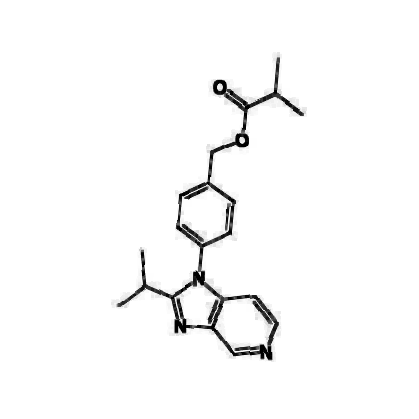 CC(C)C(=O)OCc1ccc(-n2c(C(C)C)nc3cnccc32)cc1